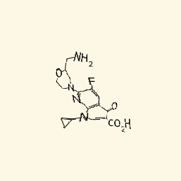 NCC1CN(c2nc3c(cc2F)c(=O)c(C(=O)O)cn3C2CC2)CCO1